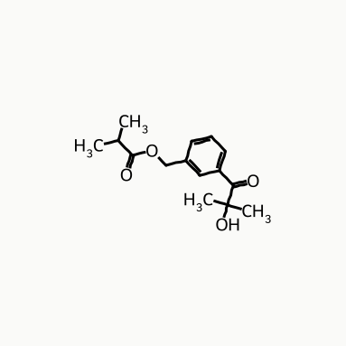 CC(C)C(=O)OCc1cccc(C(=O)C(C)(C)O)c1